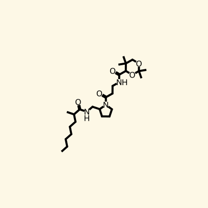 CCCCCCC(C)C(=O)NCC1CCCN1C(=O)CCNC(=O)C1OC(C)(C)OCC1(C)C